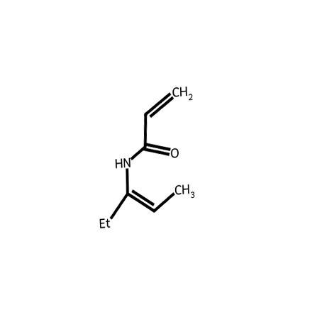 C=CC(=O)NC(=CC)CC